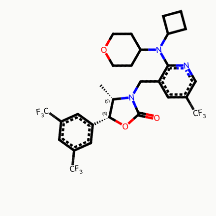 C[C@H]1[C@@H](c2cc(C(F)(F)F)cc(C(F)(F)F)c2)OC(=O)N1Cc1cc(C(F)(F)F)cnc1N(C1CCC1)C1CCOCC1